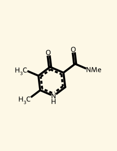 CNC(=O)c1c[nH]c(C)c(C)c1=O